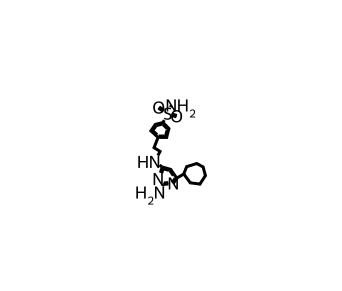 Nc1nc(NCCc2ccc(S(N)(=O)=O)cc2)cc(C2CCCCCC2)n1